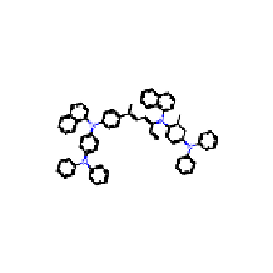 C=C/C(=C\C=C(/C)c1ccc(N(c2ccc(N(c3ccccc3)c3ccccc3)cc2)c2cccc3ccccc23)cc1)N(C1=CC=C(N(c2ccccc2)c2ccccc2)CC1C)c1cccc2ccccc12